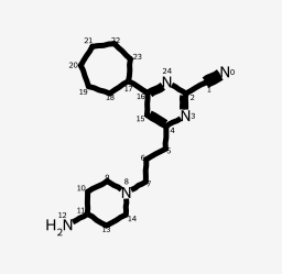 N#Cc1nc(CCCN2CCC(N)CC2)cc(C2CCCCCC2)n1